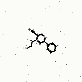 N#Cc1cnc(-c2ccccc2)cc1CCO